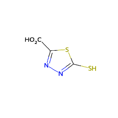 O=C(O)c1nnc(S)s1